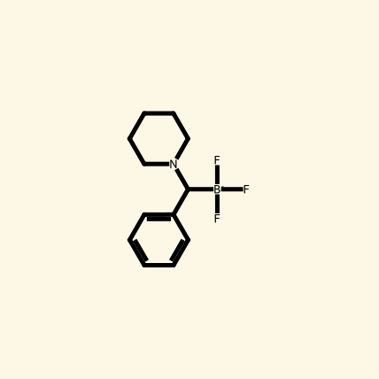 F[B-](F)(F)C(c1ccccc1)N1CCCCC1